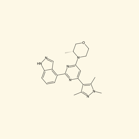 Cc1nn(C)c(C)c1-c1cc(N2CCOC[C@H]2C)nc(-c2cccc3[nH]ncc23)n1